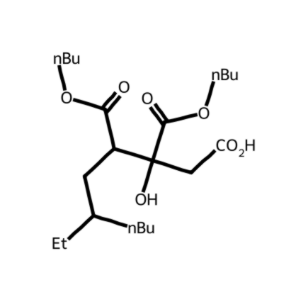 CCCCOC(=O)C(CC(CC)CCCC)C(O)(CC(=O)O)C(=O)OCCCC